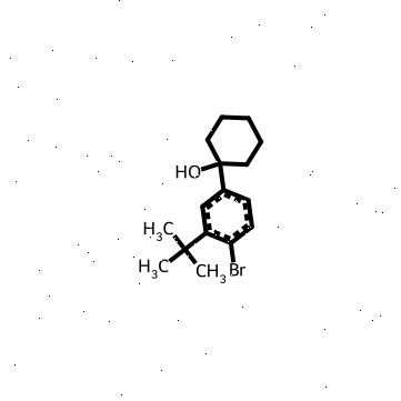 CC(C)(C)c1cc(C2(O)CCCCC2)ccc1Br